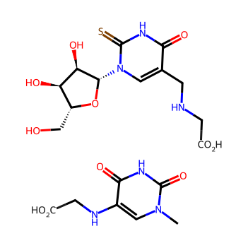 Cn1cc(NCC(=O)O)c(=O)[nH]c1=O.O=C(O)CNCc1cn([C@@H]2O[C@H](CO)[C@@H](O)[C@H]2O)c(=S)[nH]c1=O